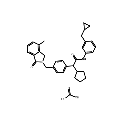 O=C(Nc1cccc(CC2CC2)c1)C(c1ccc(CN2Cc3c(F)cccc3C2=O)cc1)C1CCCC1.O=C(O)O